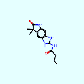 CCCC(=O)NC1Nc2cc3c(cc2N1)C(C)(C)C(=O)N3